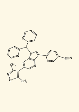 Cc1noc(C)c1-c1cnc2c(-c3ccc(C#N)cc3)cn(C(c3ccccn3)c3ccccn3)c2c1